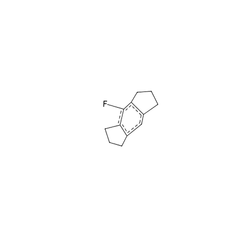 Fc1c2c(cc3c1CCC3)CCC2